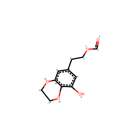 O=COCCc1cc(O)c2c(c1)OCCO2